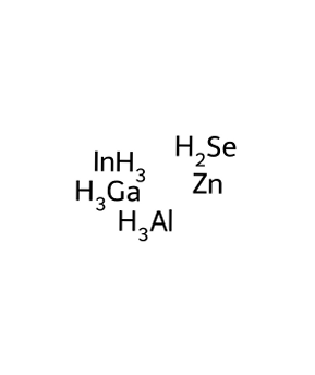 [AlH3].[GaH3].[InH3].[SeH2].[Zn]